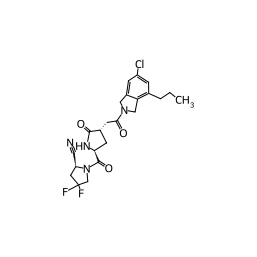 CCCc1cc(Cl)cc2c1CN(C(=O)C[C@@H]1C[C@@H](C(=O)N3CC(F)(F)C[C@H]3C#N)NC1=O)C2